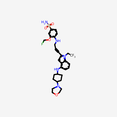 NS(=O)(=O)c1ccc(NCC#Cc2cc3c(NC4CCC(N5CCOCC5)CC4)cccc3n2CC(F)(F)F)c(OCF)c1